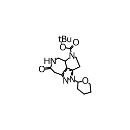 CC(C)(C)OC(=O)N1CCc2c3c(nn2C2CCCCO2)CC(=O)NCC31